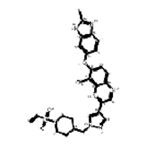 C=CS(=O)(=O)N1CCC(Cn2cc(-c3cnc4ccc(Oc5ccc6nc(C)[nH]c6c5)c(Cl)c4n3)cn2)CC1